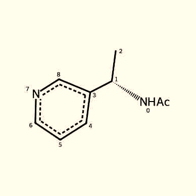 CC(=O)N[C@@H](C)c1cccnc1